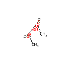 CCCCCCCCCC(=O)OC(CCCCCC(O)CCCCCC(CSC1CCCCC1)OC(=O)CCCCCCCCC)CSC1CCCCC1